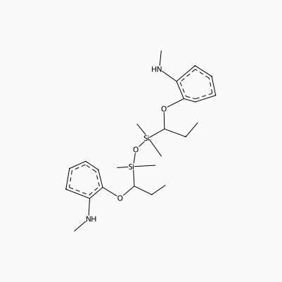 CCC(Oc1ccccc1NC)[Si](C)(C)O[Si](C)(C)C(CC)Oc1ccccc1NC